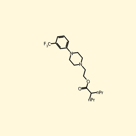 CCCC(CCC)C(=O)OCCN1CCN(c2cccc(C(F)(F)F)c2)CC1